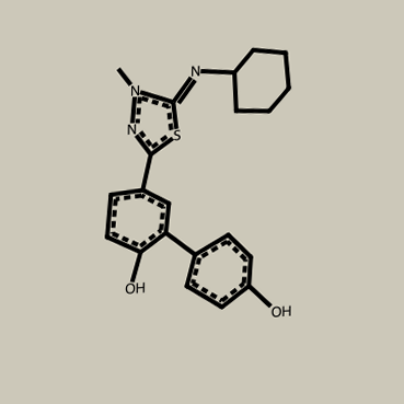 Cn1nc(-c2ccc(O)c(-c3ccc(O)cc3)c2)sc1=NC1CCCCC1